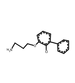 NCCCOc1cccc(-c2ccccc2)c1Cl